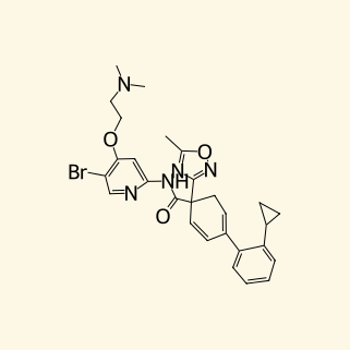 Cc1nc(C2(C(=O)Nc3cc(OCCN(C)C)c(Br)cn3)C=CC(c3ccccc3C3CC3)=CC2)no1